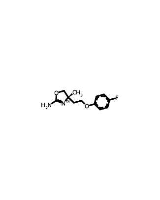 C[C@]1(CCOc2ccc(F)cc2)COC(N)=N1